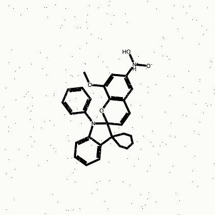 COc1cc([NH+]([O-])O)cc2c1OC1(C=C2)N(c2ccccc2)c2ccccc2C12CCCCC2